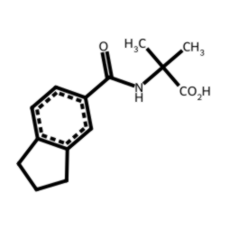 CC(C)(NC(=O)c1ccc2c(c1)CCC2)C(=O)O